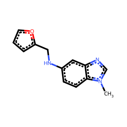 Cn1cnc2cc(NCc3ccco3)ccc21